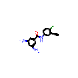 C#Cc1cc(NC(=O)c2cc(N)cc(N)c2)ccc1F